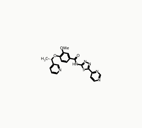 COc1cc(C(=O)Nc2nnc(-c3ccncn3)s2)ccc1O[C@@H](C)c1cccnc1